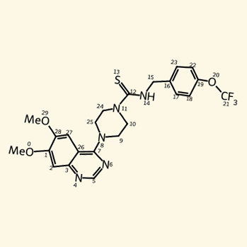 COc1cc2ncnc(N3CCN(C(=S)NCc4ccc(OC(F)(F)F)cc4)CC3)c2cc1OC